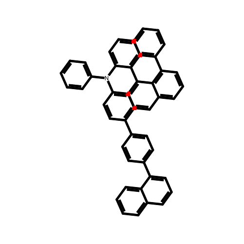 c1ccc(-c2cccc3cccc(-c4ccccc4N(c4ccccc4)c4ccc(-c5ccc(-c6cccc7ccccc67)cc5)cc4)c23)cc1